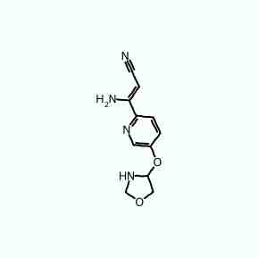 N#CC=C(N)c1ccc(OC2COCN2)cn1